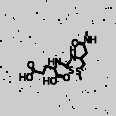 CNC(=O)CC(CSC)NC(=S)NC(CCC(=O)O)C(=O)O